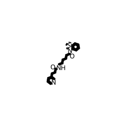 C[Si]1(C)CN(C(=O)CCCCCNC(=O)CCc2cccnc2)c2ccccc21